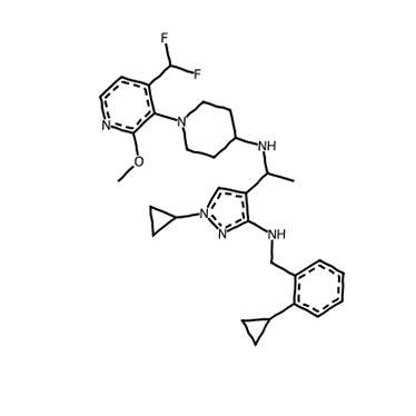 COc1nccc(C(F)F)c1N1CCC(NC(C)c2cn(C3CC3)nc2NCc2ccccc2C2CC2)CC1